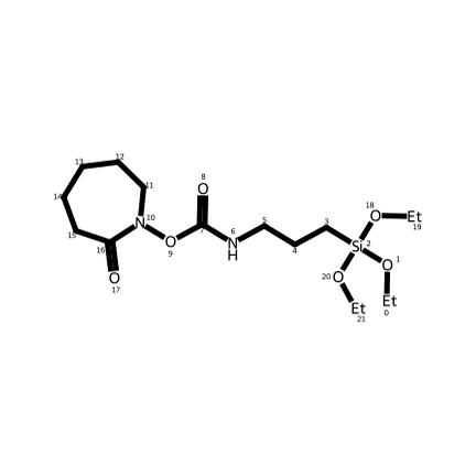 CCO[Si](CCCNC(=O)ON1CCCCCC1=O)(OCC)OCC